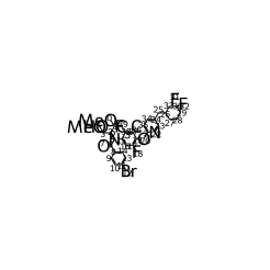 COCC(COC)N(C(=O)c1ccc(Br)cc1)c1cc(F)c(Oc2ncc(CC3CCCC(F)(F)C3)cc2C(F)(F)F)cc1C(=O)O